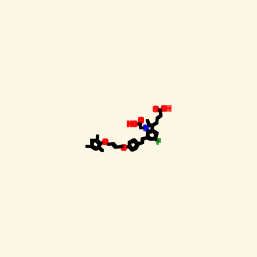 Cc1cc(C)c(OC/C=C/COc2ccc(/C=C/c3cc(F)cc4c(CCCC(=O)O)c(C)n(CC(=O)O)c34)cc2)c(C)c1